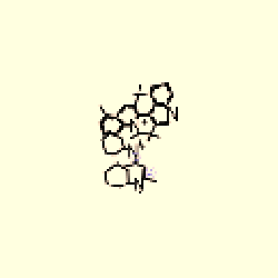 C/C(=C/C(C)=[N+](\CC1(C)[n+]2c3c(cc4c(C)cccc42)C(C)(C)c2cccc4ncc(c-3c24)C1(C)C)C1CCCCC1)N(C)C1CCCCC1